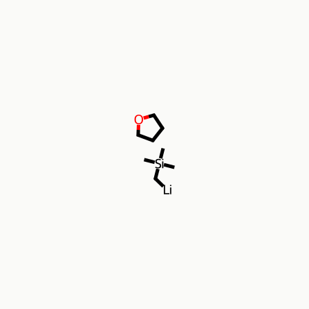 C1CCOC1.[Li][CH2][Si](C)(C)C